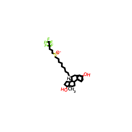 C[C@]12CCC3c4ccc(O)cc4C[C@@H](CCCCCCCCC[S+]([O-])CCCC(F)(F)C(F)(F)F)[C@H]3C1CC[C@@H]2O